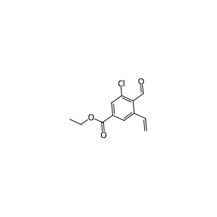 C=Cc1cc(C(=O)OCC)cc(Cl)c1C=O